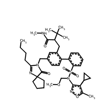 CCCCC1=NC2(CCCC2)C(=O)N1Cc1ccc(-c2ccccc2S(=O)(=O)N(COC)c2noc(C)c2C2CC2)c(CC(C(=O)NC)C(C)(C)C)c1